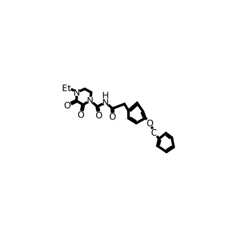 CCN1CCN(C(=O)NC(=O)Cc2ccc(OCc3ccccc3)cc2)C(=O)C1=O